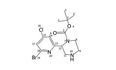 CC(C)(C)OC(=O)N1CCNCC1c1cc(Cl)cc(Br)n1